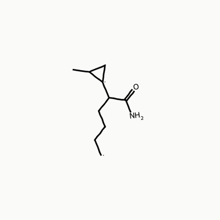 [CH2]CCCC([C]1CC1C)C(N)=O